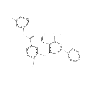 CNc1nc(-c2ccccc2)nc(Nc2cc(C(=O)Nc3cccc(C(F)(F)F)c3)ccc2C)c1C=N